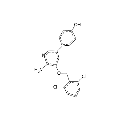 Nc1ncc(-c2ccc(O)cc2)cc1OCc1c(Cl)cccc1Cl